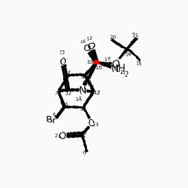 CC(=O)OC1C(Br)C2CC(C(N)=O)C1N(C(=O)OC(C)(C)C)C2=O